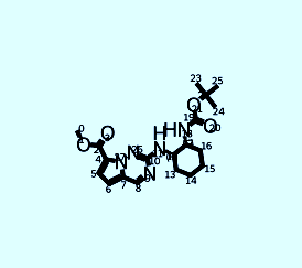 COC(=O)c1ccc2cnc(N[C@@H]3CCCC[C@@H]3NC(=O)OC(C)(C)C)nn12